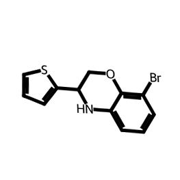 Brc1cccc2c1OCC(c1cccs1)N2